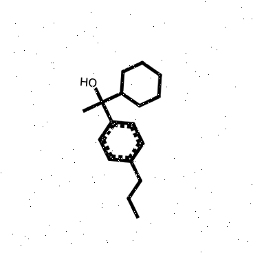 CCCc1ccc(C(C)(O)C2CCCCC2)cc1